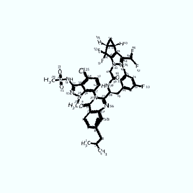 CC(C)Cc1ccc2c(=O)n(-c3ccc(Cl)c4c(NS(C)(=O)=O)nn(C)c34)c([C@H](Cc3cc(F)cc(F)c3)NC(=O)Cn3nc(C(F)F)c4c3C(F)(F)[C@@H]3C[C@H]43)nc2c1